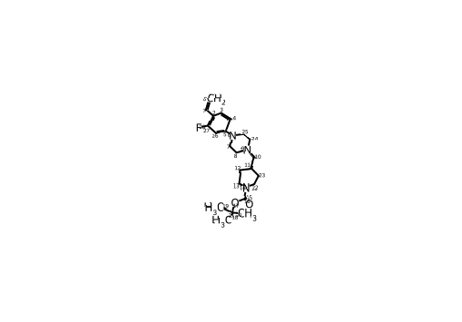 C=Cc1ccc(N2CCN(CC3CCN(C(=O)OC(C)(C)C)CC3)CC2)cc1F